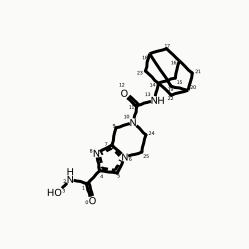 O=C(NO)c1cn2c(n1)CN(C(=O)NC13CC4CC(CC(C4)C1)C3)CC2